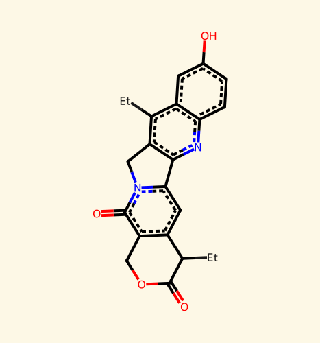 CC[C]1C(=O)OCc2c1cc1n(c2=O)Cc2c-1nc1ccc(O)cc1c2CC